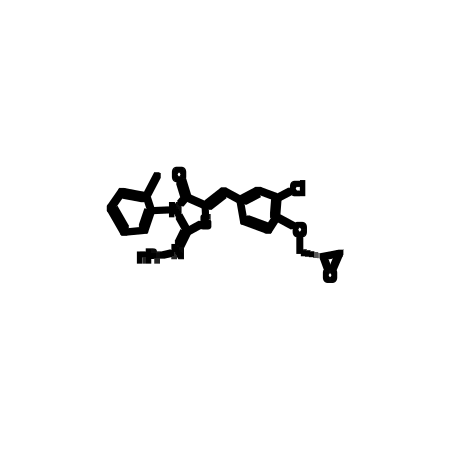 CCC/N=C1/S/C(=C\c2ccc(OC[C@@H]3CO3)c(Cl)c2)C(=O)N1c1ccccc1C